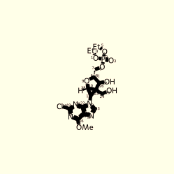 CCOP(=O)(OCC)OC[C@H]1O[C@H]2C(n3cnc4c(OC)nc(Cl)nc43)C2(CO)C1O